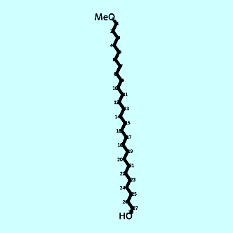 COCCCCCCCCCCCCCCCCCCCCCCCCCCCO